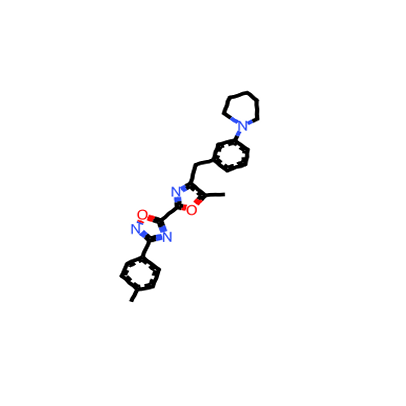 Cc1ccc(-c2noc(-c3nc(Cc4cccc(N5CCCCC5)c4)c(C)o3)n2)cc1